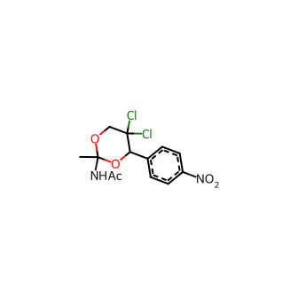 CC(=O)NC1(C)OCC(Cl)(Cl)C(c2ccc([N+](=O)[O-])cc2)O1